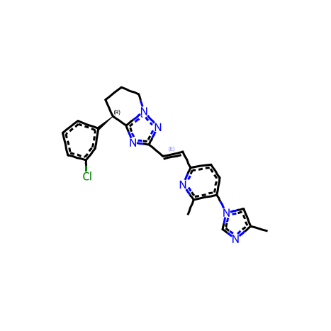 Cc1cn(-c2ccc(/C=C/c3nc4n(n3)CCC[C@@H]4c3cccc(Cl)c3)nc2C)cn1